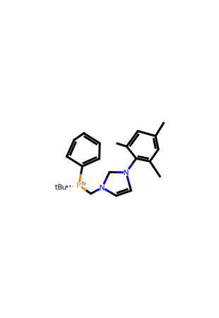 Cc1cc(C)c(N2C=CN(C[P@@](c3ccccc3)C(C)(C)C)C2)c(C)c1